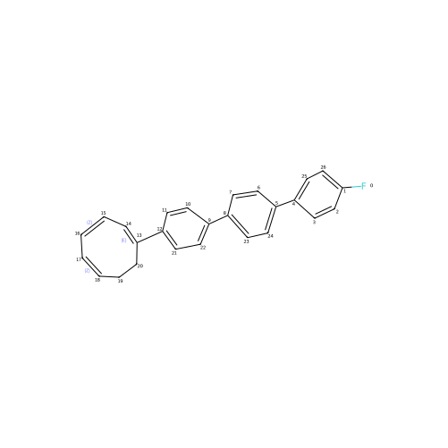 Fc1ccc(-c2ccc(-c3ccc(/C4=C/C=C\C=C/CC4)cc3)cc2)cc1